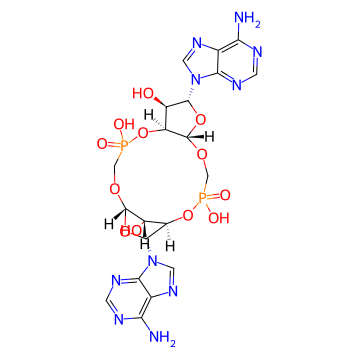 Nc1ncnc2c1ncn2[C@@H]1O[C@@H]2OCP(=O)(O)O[C@@H]3[C@H](O)[C@@H](OCP(=O)(O)O[C@H]2[C@H]1O)O[C@H]3n1cnc2c(N)ncnc21